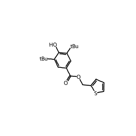 CC(C)(C)c1cc(C(=O)OCc2cccs2)cc(C(C)(C)C)c1O